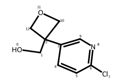 OCC1(c2ccc(Cl)nc2)COC1